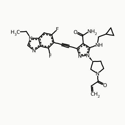 C=CC(=O)N1CC[C@H](n2nc(C#Cc3c(F)cc4c(ncn4CC)c3F)c(C(N)=O)c2NCC2CC2)C1